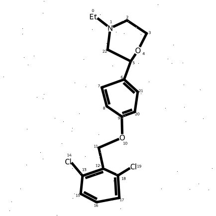 CCN1CCOC(c2ccc(OCc3c(Cl)cccc3Cl)cc2)C1